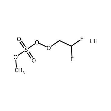 COS(=O)(=O)OOCC(F)F.[LiH]